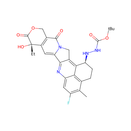 CC[C@@]1(O)C(=O)OCc2c1cc1n(c2=O)Cc2c-1nc1cc(F)c(C)c3c1c2[C@@H](NNC(=O)OC(C)(C)C)CC3